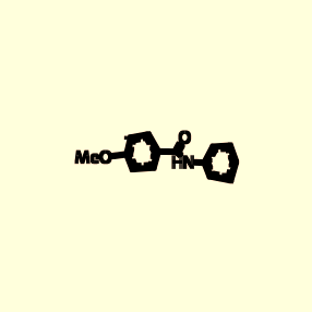 COc1[c]cc(C(=O)Nc2ccccc2)cc1